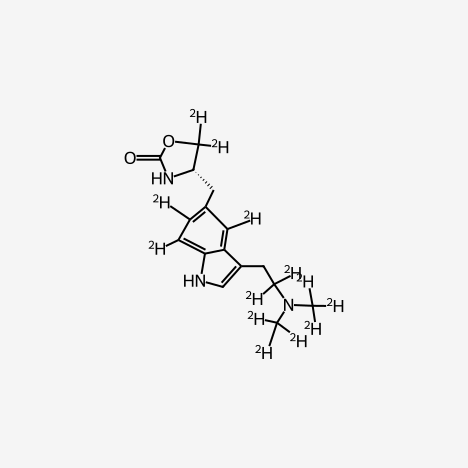 [2H]c1c(C[C@@H]2NC(=O)OC2([2H])[2H])c([2H])c2c(CC([2H])([2H])N(C([2H])([2H])[2H])C([2H])([2H])[2H])c[nH]c2c1[2H]